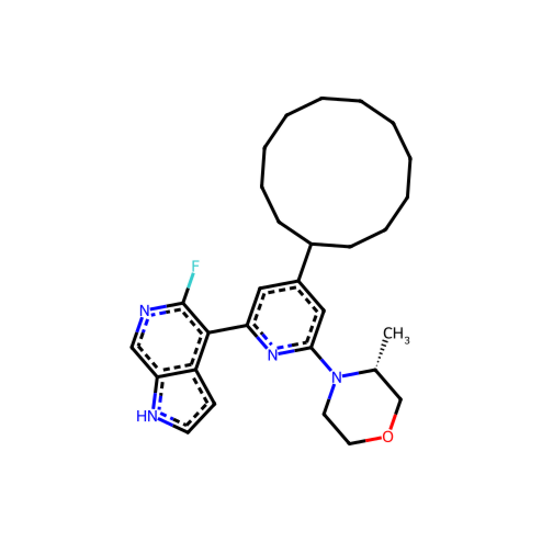 C[C@@H]1COCCN1c1cc(C2CCCCCCCCCCC2)cc(-c2c(F)ncc3[nH]ccc23)n1